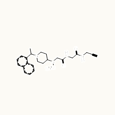 C#CCNC(=O)CNC(=O)CN(SC)C1CCN(C(C)c2cccc3ccccc23)CC1